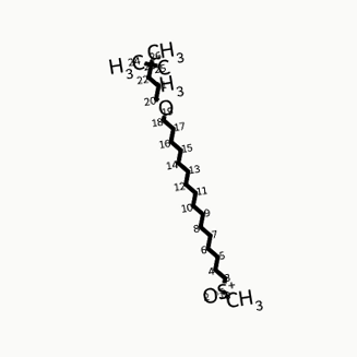 C[S+]([O-])CCCCCCCCCCCCCCCCOCCCC(C)(C)C